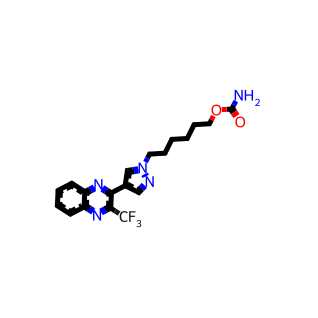 NC(=O)OCCCCCCn1cc(-c2nc3ccccc3nc2C(F)(F)F)cn1